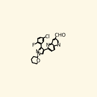 O=Cc1cnc2ccc(-c3cn(C4CCCCO4)nc3-c3cc(Cl)ccc3F)nc2c1